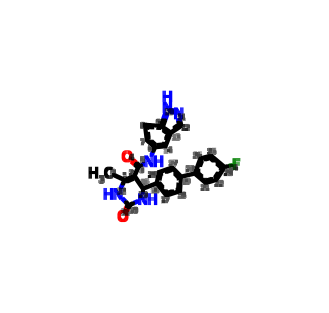 CC1=C(C(=O)Nc2ccc3[nH]ncc3c2)C(c2ccc(-c3ccc(F)cc3)cc2)NC(=O)N1